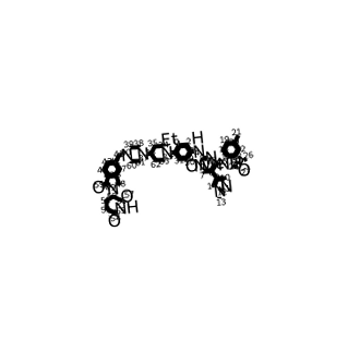 CCc1cc(Nc2ncc(-c3cnn(C)c3)c(Nc3ccc(C)cc3P(C)(C)=O)n2)c(OC)cc1N1CCC(N2CCN(Cc3ccc4c(c3)CN(C3CCC(=O)NC3=O)C4=O)CC2)CC1